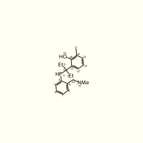 CCC(CC)(Pc1ccccc1CNC)c1cccc(C)c1O